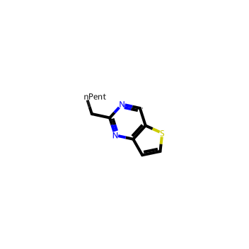 CCCCCCc1n[c]c2sccc2n1